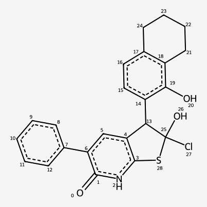 O=c1[nH]c2c(cc1-c1ccccc1)C(c1ccc3c(c1O)CCCC3)C(O)(Cl)S2